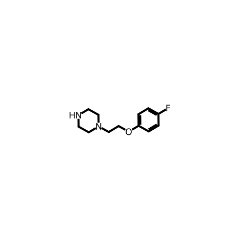 Fc1ccc(OCCN2CCNCC2)cc1